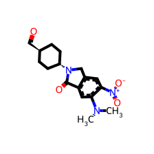 CN(C)c1cc2c(cc1[N+](=O)[O-])CN([C@H]1CC[C@H](C=O)CC1)C2=O